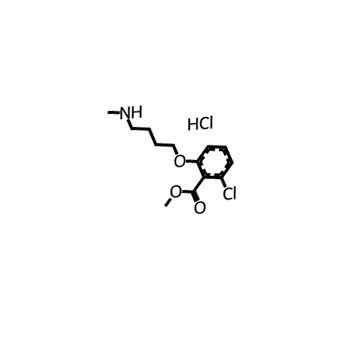 CNCCCCOc1cccc(Cl)c1C(=O)OC.Cl